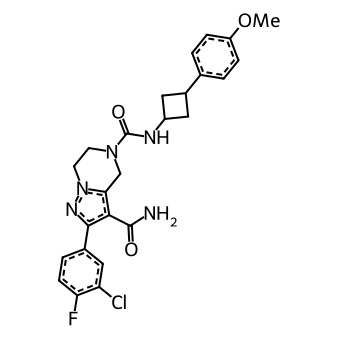 COc1ccc(C2CC(NC(=O)N3CCn4nc(-c5ccc(F)c(Cl)c5)c(C(N)=O)c4C3)C2)cc1